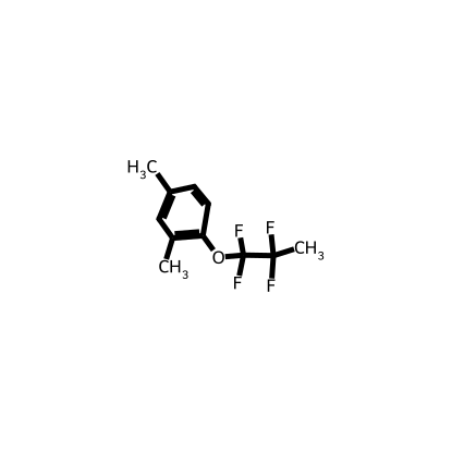 Cc1ccc(OC(F)(F)C(C)(F)F)c(C)c1